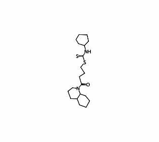 O=C(CCCSC(=S)NC1CCCCC1)N1CCCC2CCCCC21